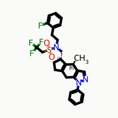 C[C@@H]1C2=C(CC[C@@H]2CN(CCc2ccccc2F)S(=O)(=O)CC(F)(F)F)Cc2c1cnn2-c1ccccc1